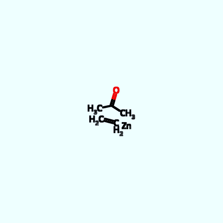 C=C.CC(C)=O.[Zn]